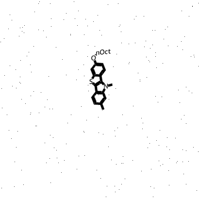 CCCCCCCCOc1ccc2c(c1)sc1c3ccc(C)cc3n(C)c21